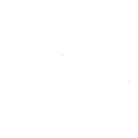 c1ccc(N(c2ccc(-c3ccc4ccc5oc6ncccc6c5c4c3)cc2)c2ccc3c(c2)oc2ccccc23)cc1